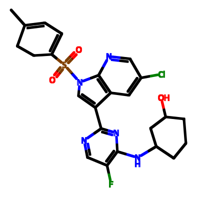 CC1=CC=C(S(=O)(=O)n2cc(-c3ncc(F)c(NC4CCCC(O)C4)n3)c3cc(Cl)cnc32)CC1